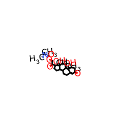 CN(C)C(=O)OCC(=O)C1(O)CCC2C3CCC4=CC(=O)CCC4(C)C3C(O)CC21C